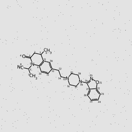 CC1CC(=O)N(C(C)C#N)c2ccc(CCN3CCN(c4noc5ccccc45)CC3)cc21